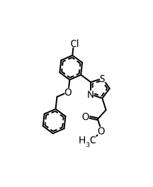 COC(=O)Cc1csc(-c2cc(Cl)ccc2OCc2ccccc2)n1